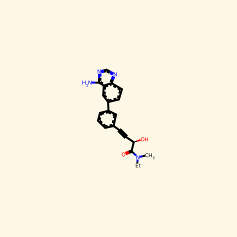 CCN(C)C(=O)[C@H](O)C#Cc1cccc(-c2ccc3ncnc(N)c3c2)c1